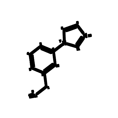 CC(C)(C)Cc1cccc(-n2ccnc2)c1